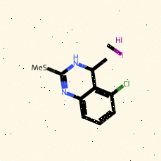 CI.CSC1=Nc2cccc(Cl)c2C(C)N1.I